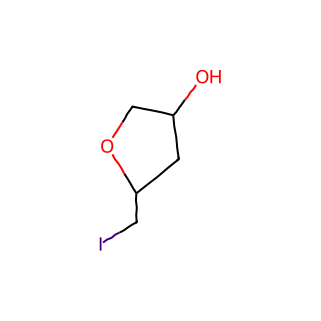 OC1COC(CI)C1